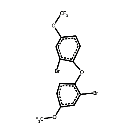 FC(F)(F)Oc1ccc(Oc2ccc(OC(F)(F)F)cc2Br)c(Br)c1